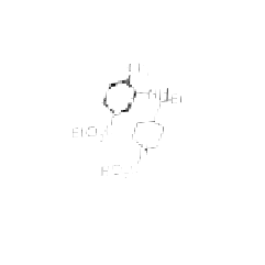 CCOC(=O)c1ccc(C(F)(F)F)c(NC(CC)C2CCN(C(=O)O)CC2)c1